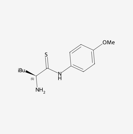 CCC(C)[C@H](N)C(=S)Nc1ccc(OC)cc1